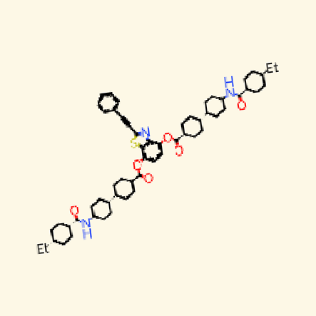 CC[C@H]1CC[C@@H](C(=O)NC2CCC([C@H]3CC[C@H](C(=O)Oc4ccc(OC(=O)C5CCC([C@H]6CC[C@@H](NC(=O)[C@H]7CC[C@@H](CC)CC7)CC6)CC5)c5sc(C#Cc6ccccc6)nc45)CC3)CC2)CC1